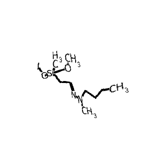 CCCCN(C)/N=C/C[Si](C)(OC)OI